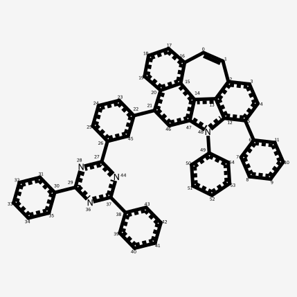 C1=Cc2ccc(-c3ccccc3)c3c2c2c4c1cccc4c(-c1cccc(-c4nc(-c5ccccc5)nc(-c5ccccc5)n4)c1)cc2n3-c1ccccc1